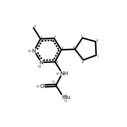 Cc1cc(C2CCCC2)c(NC(=O)C(C)(C)C)nn1